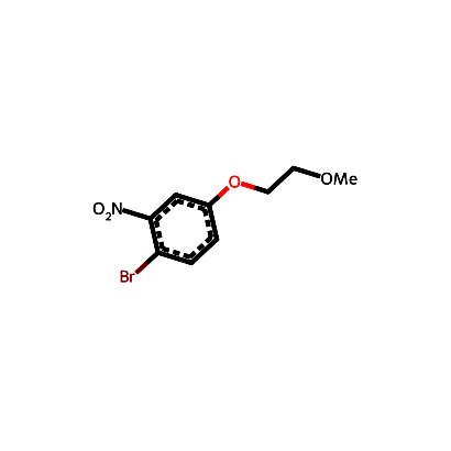 COCCOc1ccc(Br)c([N+](=O)[O-])c1